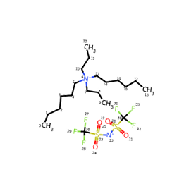 CCCCCC[N+](CCC)(CCC)CCCCCC.O=S(=O)([N-]S(=O)(=O)C(F)(F)F)C(F)(F)F